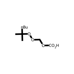 CCCCC(C)(C)OOCOC(=O)O